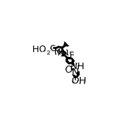 O=C(O)c1cc(C2CC2)c2nc(-c3ccc(NC(=O)N4CC[C@@H](O)C4)cc3F)cn2n1